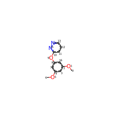 COc1cc(OC)cc(Oc2cc[c]nn2)c1